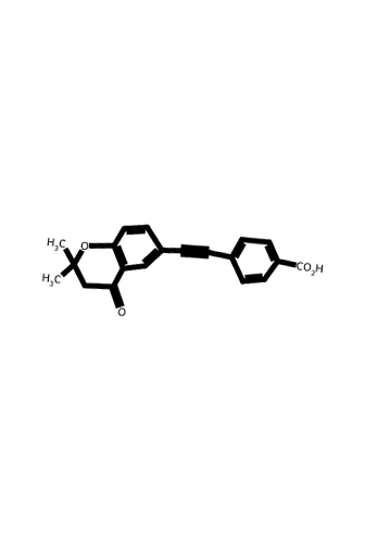 CC1(C)CC(=O)c2cc(C#Cc3ccc(C(=O)O)cc3)ccc2O1